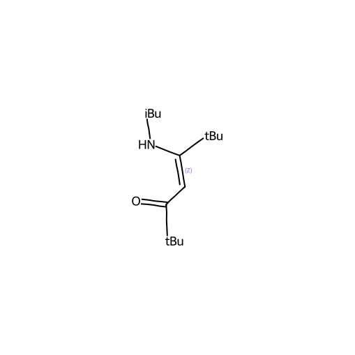 CCC(C)N/C(=C\C(=O)C(C)(C)C)C(C)(C)C